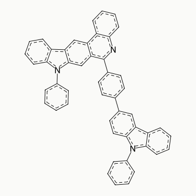 c1ccc(-n2c3ccccc3c3cc(-c4ccc(-c5nc6ccccc6c6cc7c8ccccc8n(-c8ccccc8)c7cc56)cc4)ccc32)cc1